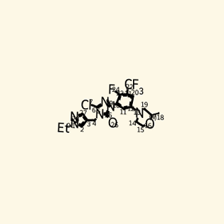 CCn1cc(Cn2c(Cl)nn(-c3cc(N4CCO[C@H](C)C4)cc(C(F)(F)F)c3F)c2=O)cn1